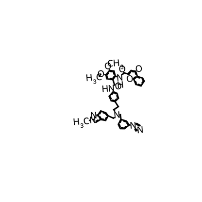 COc1cc(NC(=O)c2cc(=O)c3ccccc3o2)c(C(=O)Nc2ccc(CCN(Cc3cccc(-n4ccnc4)c3)Cc3ccc4nn(C)cc4c3)cc2)cc1OC